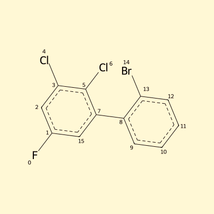 Fc1cc(Cl)c(Cl)c(-c2ccccc2Br)c1